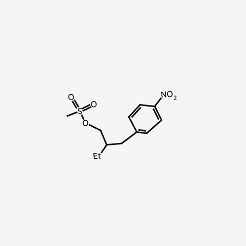 CCC(COS(C)(=O)=O)Cc1ccc([N+](=O)[O-])cc1